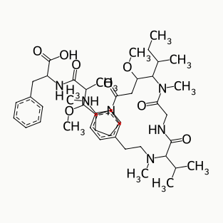 CCC(C)C(C(CC(=O)N1CCCC1C(OC)C(C)C(=O)NC(Cc1ccccc1)C(=O)O)OC)N(C)C(=O)CNC(=O)C(C(C)C)N(C)CCc1ccc(NC)cc1